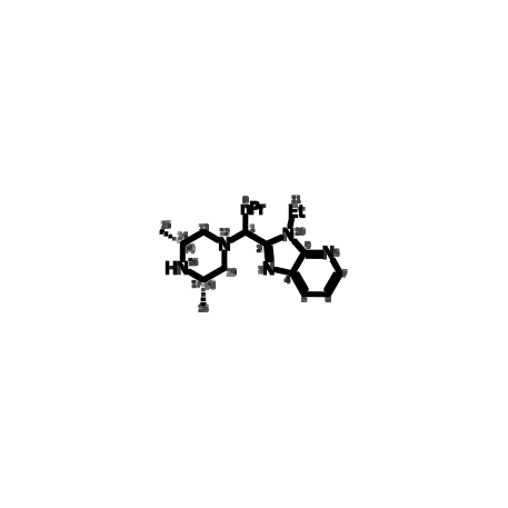 CCCC(c1nc2cccnc2n1CC)N1C[C@@H](C)N[C@@H](C)C1